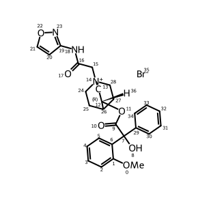 COc1ccccc1C(O)(C(=O)O[C@H]1C[N+]2(CC(=O)Nc3ccon3)CCC1CC2)c1ccccc1.[Br-]